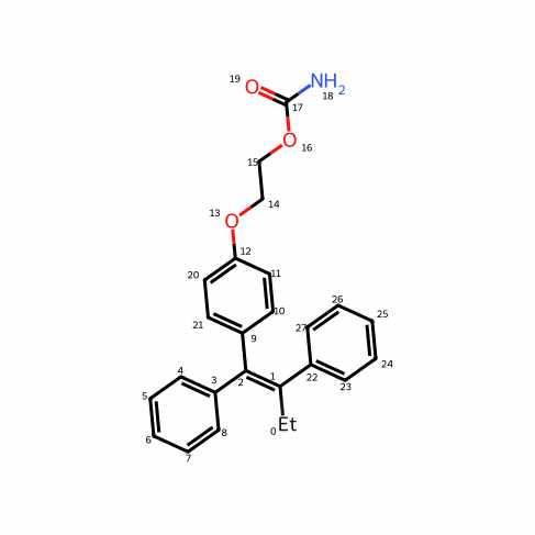 CC/C(=C(\c1ccccc1)c1ccc(OCCOC(N)=O)cc1)c1ccccc1